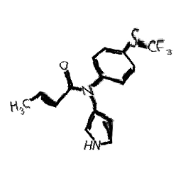 CC=CC(=O)N(c1ccc(SC(F)(F)F)cc1)c1cc[nH]c1